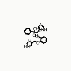 CC(C)(Cc1cnc[nH]1)c1ccccc1.Clc1ccccc1OCc1c[nH]cn1